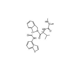 CN[C@@H](C)C(=O)N[C@H](C(=O)N1Cc2ccccc2[C@H]1C(=O)Nc1cccc2sccc12)C(C)C